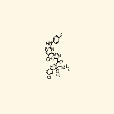 Cc1cnc(Nc2ccc(F)cc2)nc1-n1cnc(C(=O)NC(O)(CN)c2cccc(Cl)c2)c1